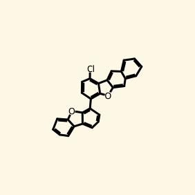 Clc1ccc(-c2cccc3c2oc2ccccc23)c2oc3cc4ccccc4cc3c12